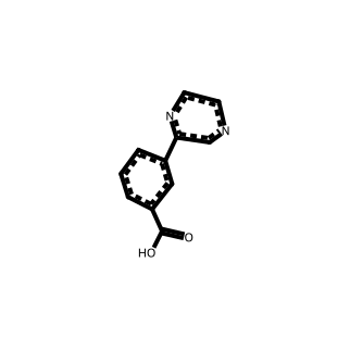 O=C(O)c1cccc(-c2cnccn2)c1